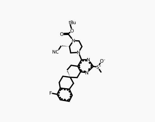 C[S+]([O-])c1nc2c(c(N3CCN(C(=O)OC(C)(C)C)[C@@H](CC#N)C3)n1)CC[C@]1(CCc3c(F)cccc3C1)C2